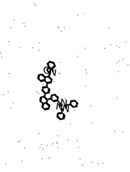 c1ccc(-c2nc(-c3ccccc3)nc(-c3cccc(-c4c(-c5ccc(-c6ccc(-c7nc8ccccc8o7)c7ccccc67)cc5)ccc5ccccc45)c3)n2)cc1